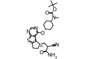 CN(C(=O)OC(C)(C)C)[C@H]1CC[C@H](Oc2ncnc3sc4c(c23)[C@@H](CC(C#N)C(N)=O)CC4)CC1